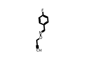 C#CCON=[C]c1ccc(F)cc1